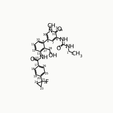 CCNC(=O)Nc1cc(-c2cccc(NC(=O)c3ccc(C4(F)CC4)cc3)c2CO)cn(C)c1=O